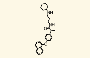 CC(C(=O)NCCCNC1CCCCC1)c1ccc(Oc2cccc3ccccc23)cc1